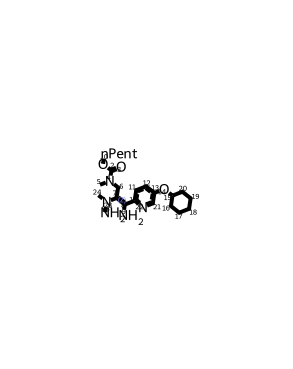 CCCCCOC(=O)N(C)C/C(=C(/N)c1ccc(OC2CCCCC2)cn1)N(C)N